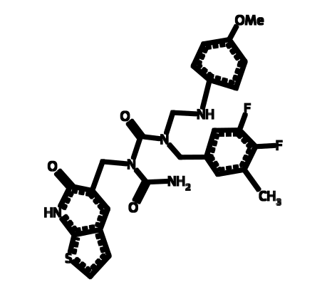 COc1ccc(NCN(Cc2cc(C)c(F)c(F)c2)C(=O)N(Cc2cc3ccsc3[nH]c2=O)C(N)=O)cc1